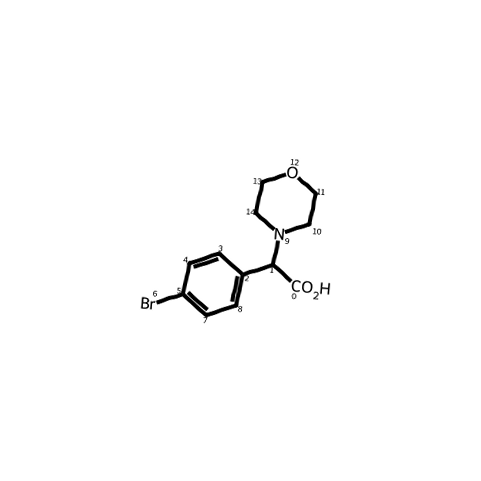 O=C(O)C(c1ccc(Br)cc1)N1CCOCC1